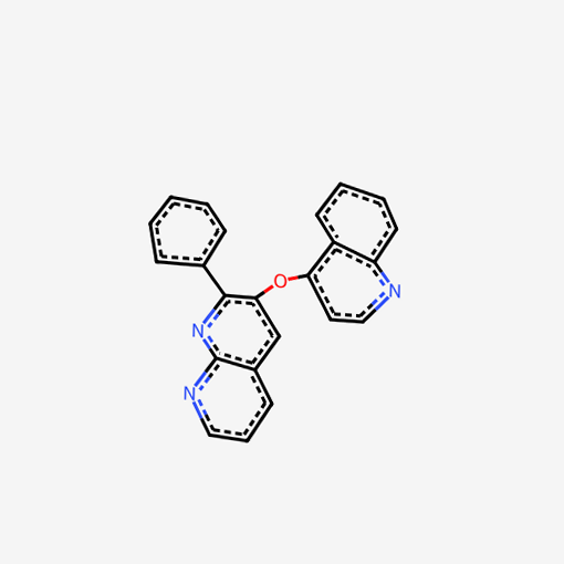 c1ccc(-c2nc3ncccc3cc2Oc2ccnc3ccccc23)cc1